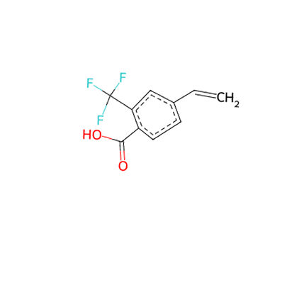 C=Cc1ccc(C(=O)O)c(C(F)(F)F)c1